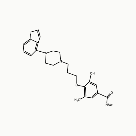 CNC(=O)c1cc(C)c(OCCCN2CCN(c3cccc4sccc34)CC2)c(O)c1